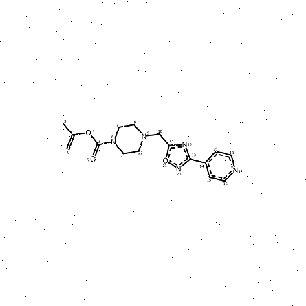 C=C(C)OC(=O)N1CCN(Cc2nc(-c3ccncc3)no2)CC1